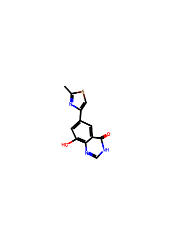 Cc1nc(-c2cc(O)c3nc[nH]c(=O)c3c2)cs1